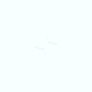 CC(=C\S(C)(=O)=O)/C(C)=C/S(C)(=O)=O